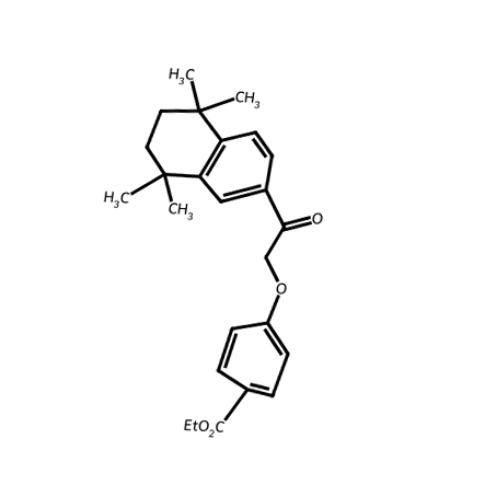 CCOC(=O)c1ccc(OCC(=O)c2ccc3c(c2)C(C)(C)CCC3(C)C)cc1